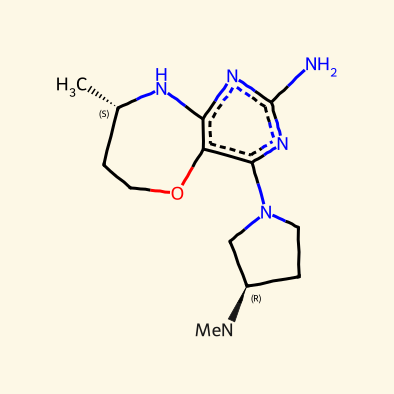 CN[C@@H]1CCN(c2nc(N)nc3c2OCC[C@H](C)N3)C1